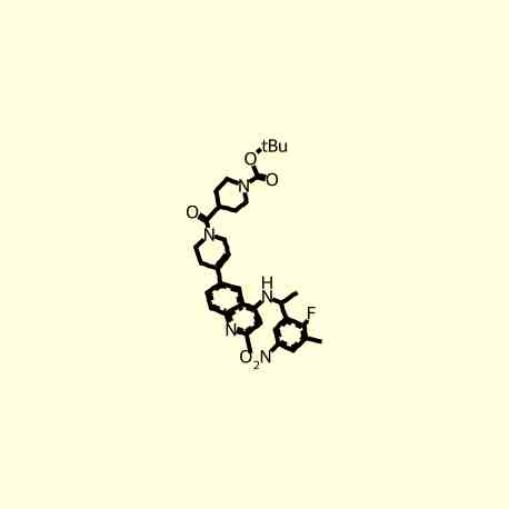 Cc1cc(NC(C)c2cc([N+](=O)[O-])cc(C)c2F)c2cc(C3=CCN(C(=O)C4CCN(C(=O)OC(C)(C)C)CC4)CC3)ccc2n1